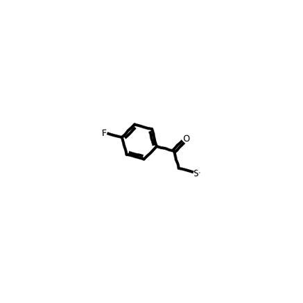 O=C(C[S])c1ccc(F)cc1